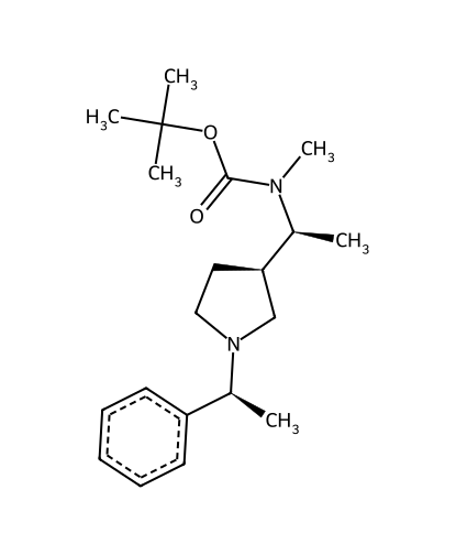 C[C@@H](c1ccccc1)N1CC[C@@H]([C@H](C)N(C)C(=O)OC(C)(C)C)C1